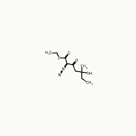 CCOC(=O)C(=[N+]=[N-])C(=O)CC(C)(O)CC